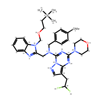 COc1ccc(CN(Cc2nc3ccccc3n2COCC[Si](C)(C)C)c2nc(N3CCOCC3)nc3c(CC(F)F)cnn23)cc1